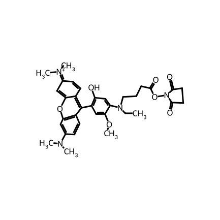 CCN(CCCC(=O)ON1C(=O)CCC1=O)c1cc(O)c(-c2c3ccc(=[N+](C)C)cc-3oc3cc(N(C)C)ccc23)cc1OC